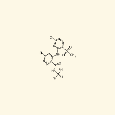 [2H]C([2H])([2H])NC(=O)c1nnc(Cl)cc1Nc1nc(Cl)ccc1S(C)(=O)=O